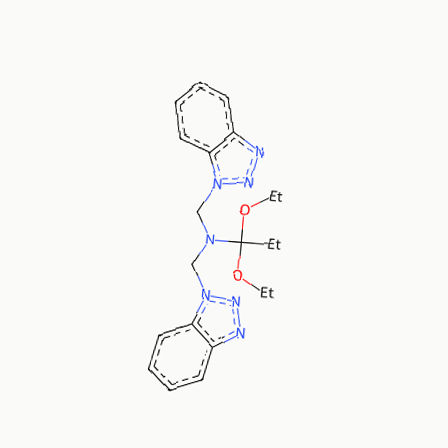 CCOC(CC)(OCC)N(Cn1nnc2ccccc21)Cn1nnc2ccccc21